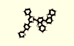 c1ccc(-c2cc(-c3ccc(-c4ccccn4)cc3)nc(-c3ccc(-c4cccc5c4sc4ccccc45)c4c3oc3ccccc34)n2)cc1